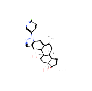 C[C@H]1C[C@@H]2[C@H]([C@@H](O)C[C@@]3(C)[C@H]2CC[C@]3(O)C(=O)O)[C@@]2(C)Cc3cnn(-c4ccc(F)nc4)c3C=C12